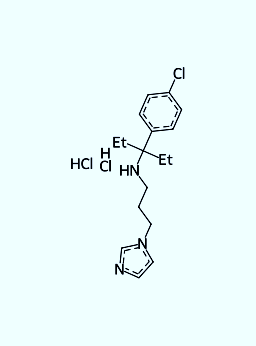 CCC(CC)(NCCCn1ccnc1)c1ccc(Cl)cc1.Cl.Cl